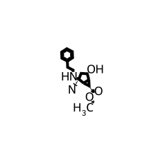 CCOC(=O)[C@H]1C2C1[C@@](C#N)(NCCc1ccccc1)C[C@@H]2O